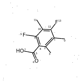 Cc1c(C)c(C(=O)O)c(F)c(C)c1F